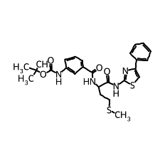 CSCCC(NC(=O)c1cccc(NC(=O)OC(C)(C)C)c1)C(=O)Nc1nc(-c2ccccc2)cs1